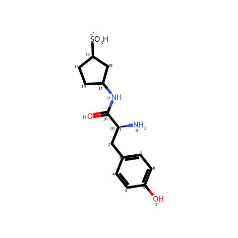 N[C@@H](Cc1ccc(O)cc1)C(=O)NC1CCC(S(=O)(=O)O)C1